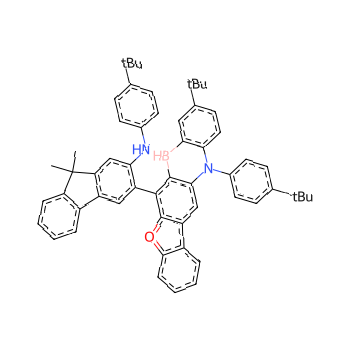 CC(C)(C)c1ccc(Nc2cc3c(cc2-c2c4c(cc5c2oc2ccccc25)N(c2ccc(C(C)(C)C)cc2)c2ccc(C(C)(C)C)cc2B4)-c2ccccc2C3(C)C)cc1